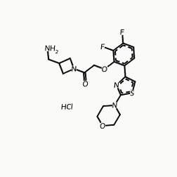 Cl.NCC1CN(C(=O)COc2c(-c3csc(N4CCOCC4)n3)ccc(F)c2F)C1